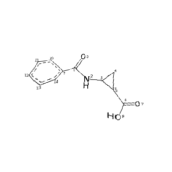 O=C(NC1CC1C(=O)O)c1ccccc1